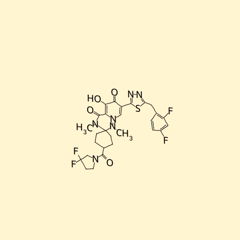 CN1C(=O)c2c(O)c(=O)c(-c3nnc(Cc4ccc(F)cc4F)s3)cn2N(C)C12CCC(C(=O)N1CCC(F)(F)C1)CC2